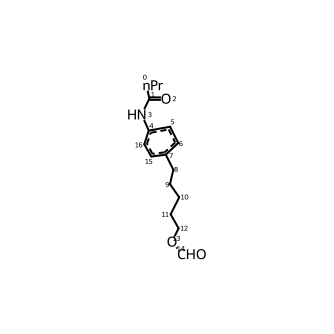 CCCC(=O)Nc1ccc(CCCCCOC=O)cc1